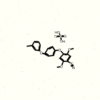 COc1cc(Oc2ccc(Oc3cccc(C)c3)cc2)c(OC)cc1[N+]#N.O=S(=O)(O)O